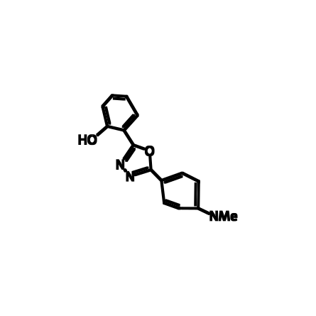 CNc1ccc(-c2nnc(-c3ccccc3O)o2)cc1